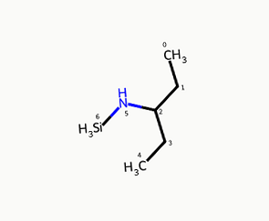 CCC(CC)N[SiH3]